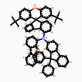 CC(C)(C)c1ccc2c(c1)C1(c3cc(C(C)(C)C)ccc3O2)c2ccccc2-c2c(N(c3ccc4c(c3)C(c3ccccc3)(c3ccccc3)c3ccccc3-4)c3cccc4c3sc3ccccc34)cccc21